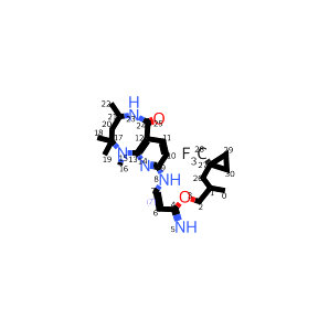 CC(COC(=N)/C=C\Nc1ccc2c(n1)N(C)C(C)(C)CC(C)NC2=O)CC1(C(F)(F)F)CC1